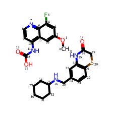 COc1cc(F)c2nccc(NC(=O)O)c2c1.O=C1CSc2ccc(CNC3CCCCC3)cc2N1